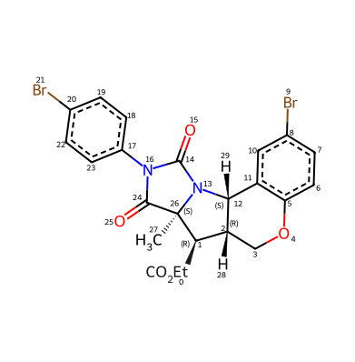 CCOC(=O)[C@@H]1[C@H]2COc3ccc(Br)cc3[C@H]2N2C(=O)N(c3ccc(Br)cc3)C(=O)[C@]12C